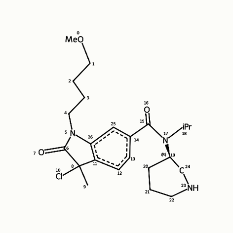 COCCCCN1C(=O)C(C)(Cl)c2ccc(C(=O)N(C(C)C)[C@@H]3CCCNC3)cc21